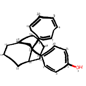 Oc1ccc(C2(c3ccccc3)C3CCCC2CCC3)cc1